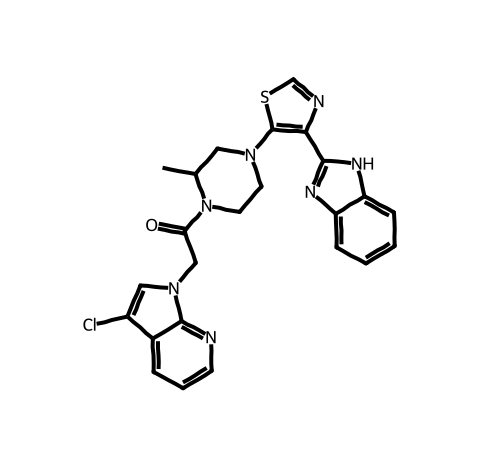 CC1CN(c2scnc2-c2nc3ccccc3[nH]2)CCN1C(=O)Cn1cc(Cl)c2cccnc21